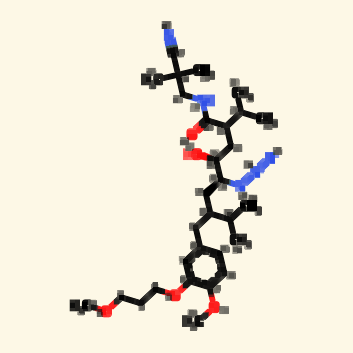 COCCCOc1cc(CC(C[C@H](N=[N+]=[N-])[C@@H](O)CC(C(=O)NCC(C)(C)C#N)C(C)C)C(C)C)ccc1OC